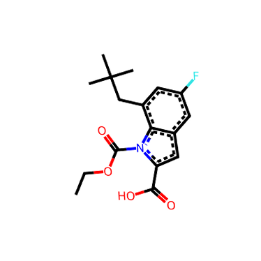 CCOC(=O)n1c(C(=O)O)cc2cc(F)cc(CC(C)(C)C)c21